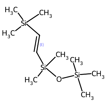 C[Si](C)(C)/C=C/[Si](C)(C)O[Si](C)(C)C